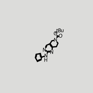 CC(C)(C)OC(=O)N1CCc2nc(Nc3ccccc3)ncc2C1